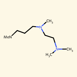 CNCCCN(C)CCN(C)C